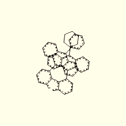 c1ccc(-c2c3ccccc3c(-c3cccc4oc5cccc(-c6c7ccccc7c(C7CCCCC7)c7ccccc67)c5c34)c3ccccc23)cc1